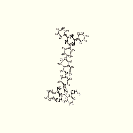 Cc1ccccc1-c1nc(-c2ccc(-c3ccc4c(c3)CCC(c3ccc(-c5nc(-c6ccccc6)nc(-c6ccccc6)n5)cc3)=C4)cc2)nc(-c2ccccc2C)n1